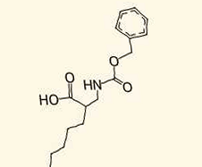 CCCCCC(CNC(=O)OCc1ccccc1)C(=O)O